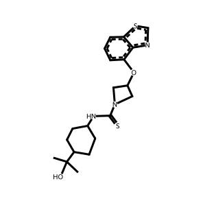 CC(C)(O)C1CCC(NC(=S)N2CC(Oc3cccc4scnc34)C2)CC1